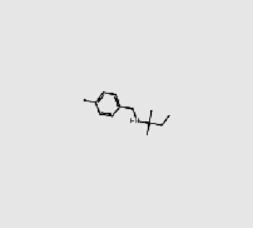 CCC(C)(C)NCc1ccc(C)cc1